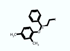 Cc1ccc(O[C@H](CCI)c2ccccc2)c(C)c1